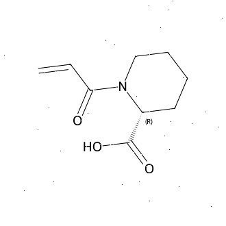 C=CC(=O)N1CCCC[C@@H]1C(=O)O